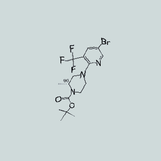 C[C@@H]1CN(c2ncc(Br)cc2C(F)(F)F)CCN1C(=O)OC(C)(C)C